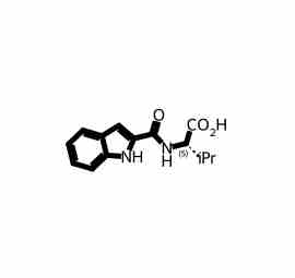 CC(C)[C@H](NC(=O)c1cc2ccccc2[nH]1)C(=O)O